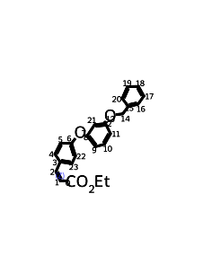 CCOC(=O)/C=C\c1ccc(Oc2cccc(OCc3ccccc3)c2)cc1